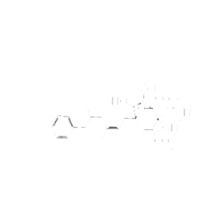 CC(=CCC12OC(C(=O)O)C(O)(C(=O)O)C(C(=O)O)(O1)C(O)C2O)CC(C)Cc1ccccc1